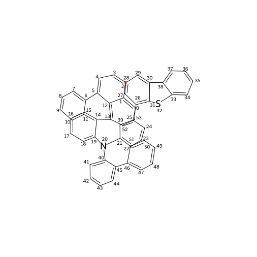 C1=c2cccc(-c3ccccc3)c2=C(c2ccccc2N(c2cccc(-c3cccc4c3sc3ccccc34)c2)c2ccccc2-c2ccccc2)CC1